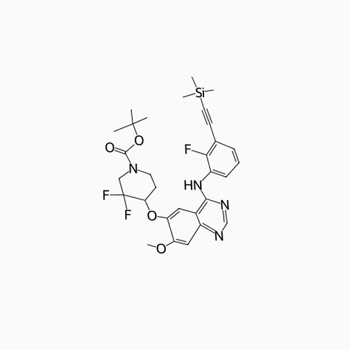 COc1cc2ncnc(Nc3cccc(C#C[Si](C)(C)C)c3F)c2cc1OC1CCN(C(=O)OC(C)(C)C)CC1(F)F